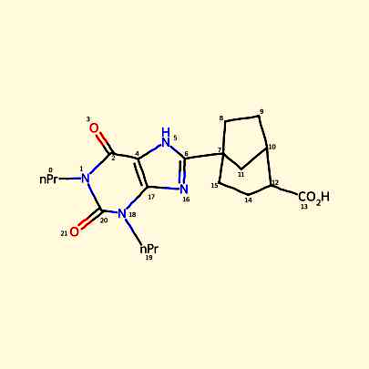 CCCn1c(=O)c2[nH]c(C34CCC(C3)C(C(=O)O)CC4)nc2n(CCC)c1=O